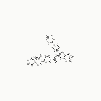 CN1CCC(N2CCN(C(=O)[C@@H](Cc3ccc(Cl)c(Cl)c3)OC(=O)N3CCC(N4CCc5ccccc5NC4=O)CC3)CC2)CC1